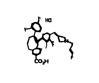 Cc1c(C2=C(c3ccc(F)cc3F)CCCc3cc(C(=O)O)ccc32)ccc(C=C2CN(CCCF)C2)c1F.Cl